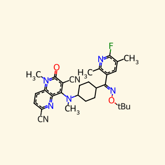 Cc1cc(/C(=N/OC(C)(C)C)C2CCC(N(C)c3c(C#N)c(=O)n(C)c4ccc(C#N)nc34)CC2)c(C)nc1F